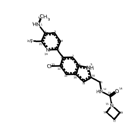 CNc1ccc(-c2cc3[nH]c(CNC(=O)N4CCC4)cc3cc2Cl)nc1F